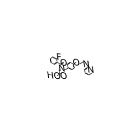 CN(CCOc1ccc(CN(CC(=O)O)C(=O)c2ccccc2F)cc1)c1ccccn1